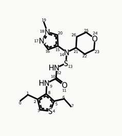 CCc1csc(CC)c1NC(=O)NSN(c1cnn(C)c1)C1CCOCC1